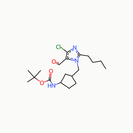 CCCCc1nc(Cl)c(C=O)n1CC1CCC(NC(=O)OC(C)(C)C)C1